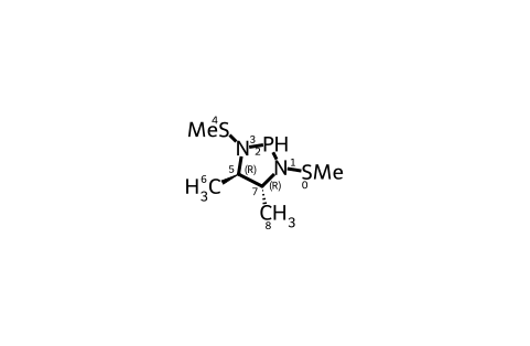 CSN1PN(SC)[C@H](C)[C@H]1C